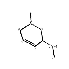 CNC1C=CCN(C)C1